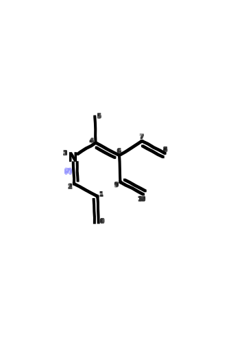 C=C/C=N\C(C)=C(C=C)C=C